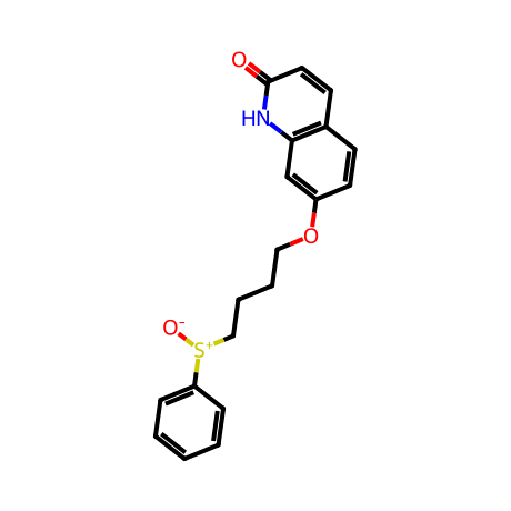 O=c1ccc2ccc(OCCCC[S+]([O-])c3ccccc3)cc2[nH]1